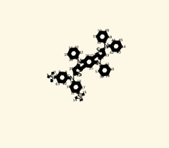 C[Si](C)(C)c1ccc(N(c2ccc([Si](C)(C)C)cc2)c2cc3c(s2)c2cc4c(cc2n3-c2ccccc2)c2sc(N(c3ccccc3)c3ccccc3)cc2n4-c2ccccc2)cc1